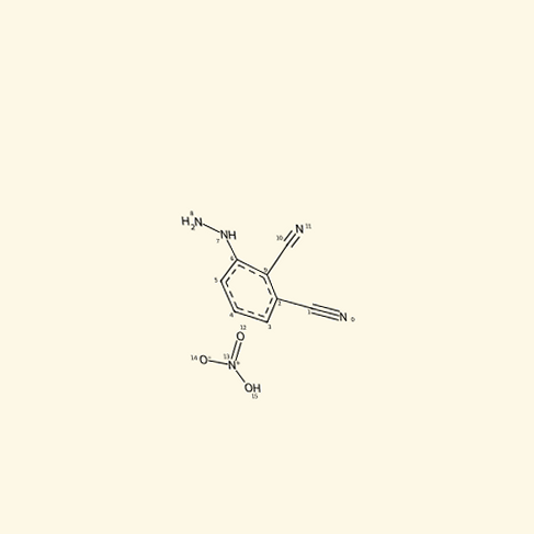 N#Cc1cccc(NN)c1C#N.O=[N+]([O-])O